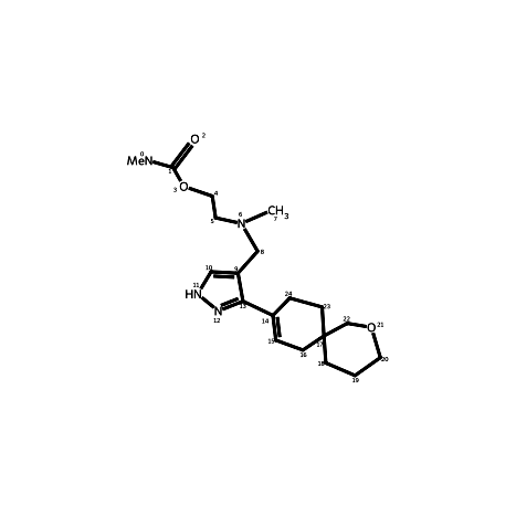 CNC(=O)OCCN(C)Cc1c[nH]nc1C1=CCC2(CCCOC2)CC1